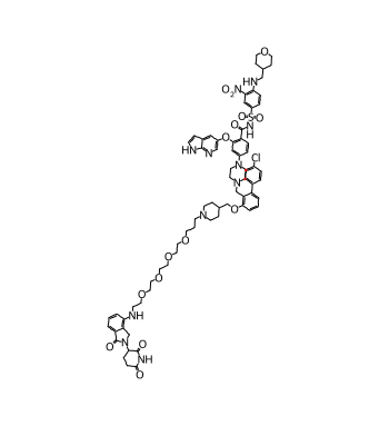 O=C1CCC(N2Cc3c(NCCOCCOCCOCCOCCCN4CCC(COc5cccc(-c6ccc(Cl)cc6)c5CN5CCN(c6ccc(C(=O)NS(=O)(=O)c7ccc(NCC8CCOCC8)c([N+](=O)[O-])c7)c(Oc7cnc8[nH]ccc8c7)c6)CC5)CC4)cccc3C2=O)C(=O)N1